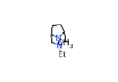 CCN1CC2CCC(C1)N2C